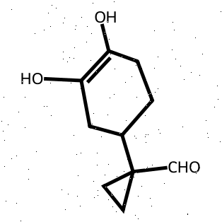 O=CC1(C2CCC(O)=C(O)C2)CC1